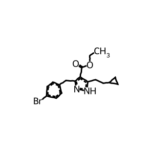 CCOC(=O)c1c(Cc2ccc(Br)cc2)n[nH]c1CCC1CC1